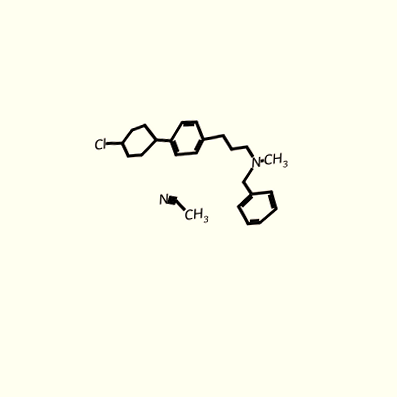 CC#N.CN(CCCc1ccc(C2CCC(Cl)CC2)cc1)Cc1ccccc1